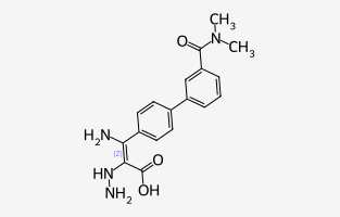 CN(C)C(=O)c1cccc(-c2ccc(/C(N)=C(/NN)C(=O)O)cc2)c1